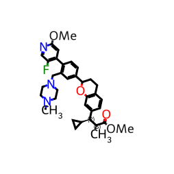 COC(=O)[C@@H](C)[C@H](c1ccc2c(c1)OC(c1ccc(-c3cc(OC)ncc3F)c(CN3CCN(C)CC3)c1)CC2)C1CC1